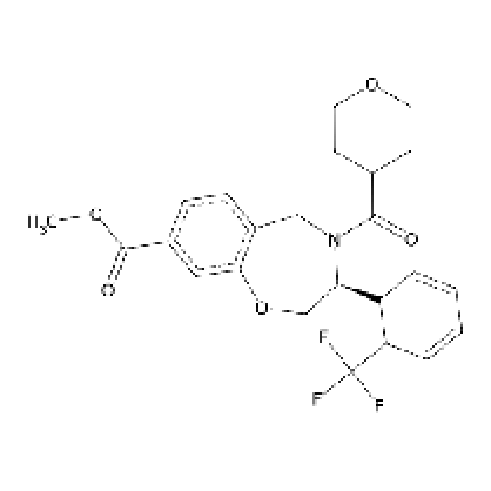 COC(=O)c1ccc2c(c1)OC[C@H](C1C=CC=CC1C(F)(F)F)N(C(=O)C1CCOCC1)C2